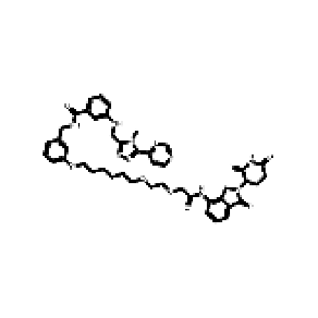 Cn1c(CNc2cccc(C(=O)NCc3cccc(OCCCCCCOCCOCC(=O)Nc4cccc5c4CN(C4CCC(=O)NC4=O)C5=O)c3)c2)nnc1-c1ccncn1